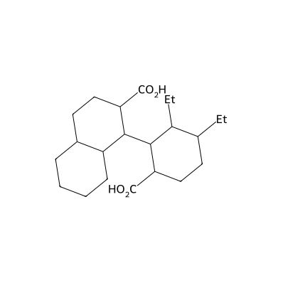 CCC1CCC(C(=O)O)C(C2C(C(=O)O)CCC3CCCCC32)C1CC